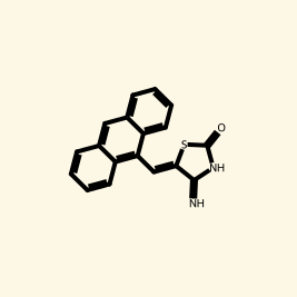 N=C1NC(=O)S/C1=C\c1c2ccccc2cc2ccccc12